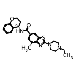 CCN1CCN(c2nc3c(C)cc(C(=O)N[C@H]4CCOc5ccccc54)cc3s2)CC1